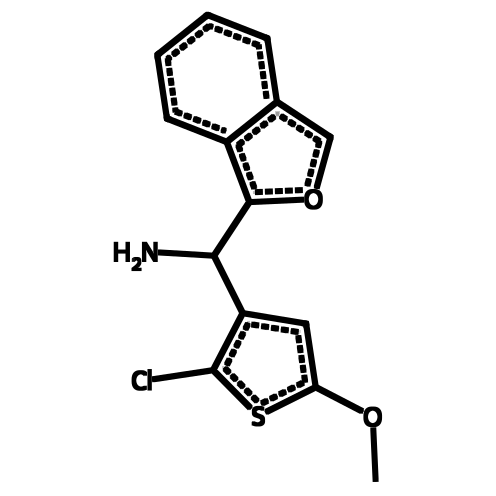 COc1cc(C(N)c2occ3ccccc23)c(Cl)s1